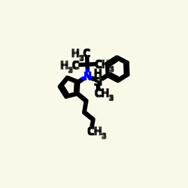 CCCCC1=C(N([SiH](C)c2ccccc2)C(C)(C)C)CC=C1